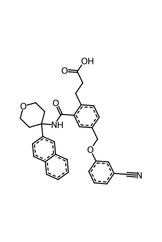 N#Cc1cccc(OCc2ccc(CCC(=O)O)c(C(=O)NC3(c4ccc5ccccc5c4)CCOCC3)c2)c1